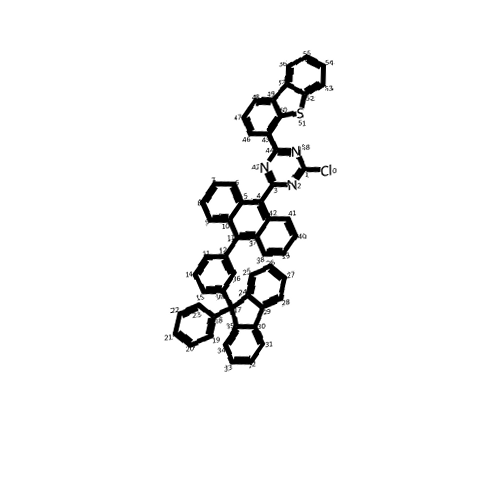 Clc1nc(-c2c3ccccc3c(-c3cccc(C4(c5ccccc5)c5ccccc5-c5ccccc54)c3)c3ccccc23)nc(-c2cccc3c2sc2ccccc23)n1